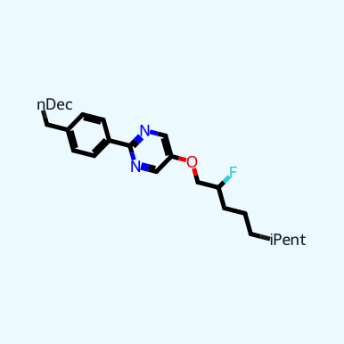 CCCCCCCCCCCc1ccc(-c2ncc(OCC(F)CCCC(C)CCC)cn2)cc1